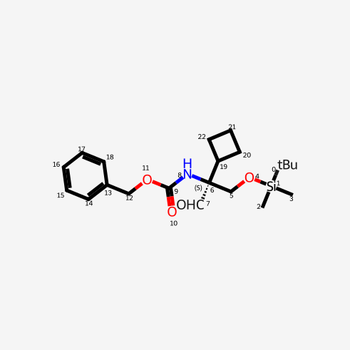 CC(C)(C)[Si](C)(C)OC[C@@](C=O)(NC(=O)OCc1ccccc1)C1CCC1